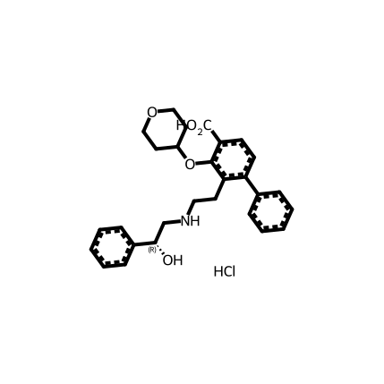 Cl.O=C(O)c1ccc(-c2ccccc2)c(CCNC[C@H](O)c2ccccc2)c1OC1CCOCC1